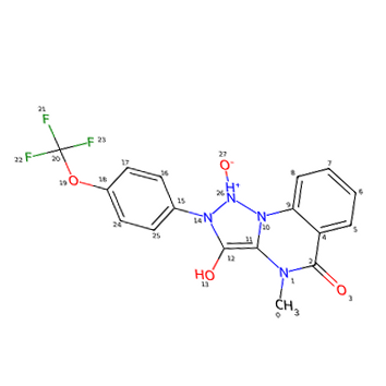 CN1C(=O)c2ccccc2N2C1=C(O)N(c1ccc(OC(F)(F)F)cc1)[NH+]2[O-]